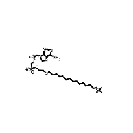 C[C@H](Cn1cnc2c(N)ncnc21)OCP(=O)(O)OCCSCCCCCCCCCCCCCCC[Si](C)(C)C